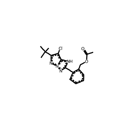 CC(=O)OCc1ccccc1-c1nn2nc(C(C)(C)C)c(Cl)c2[nH]1